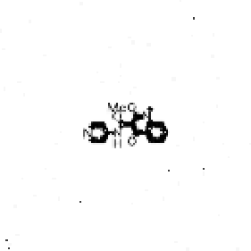 COc1c(C(=O)Nc2ccncc2)c(=O)c2ccccc2n1C